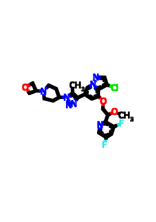 COC(COc1cc(-c2nnn(C3CCN(C4COC4)CC3)c2C)cn2ncc(Cl)c12)c1ncc(F)cc1F